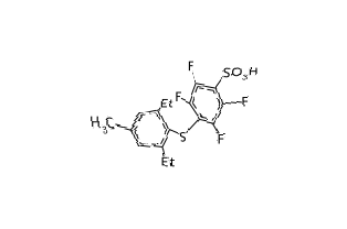 CCc1cc(C)cc(CC)c1Sc1c(F)c(F)c(S(=O)(=O)O)c(F)c1F